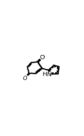 O=C1C=CC(=O)C(c2ccc[nH]2)=C1